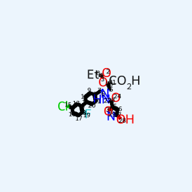 CCC(=O)O[C@H](CN(Cc1ccc(-c2cc(Cl)ccc2F)cc1)NC(=O)c1cc(O)no1)C(=O)O